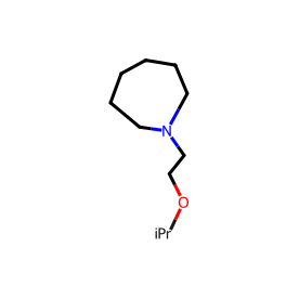 CC(C)OCCN1CCCCCC1